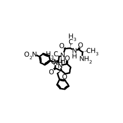 C[C@H](N)C(=O)N[C@@H](C)C(=O)N[C@@H](C)C(=O)N1C(=O)CCC(=O)[C@]1(Cc1ccccc1)C(=O)Nc1ccc([N+](=O)[O-])cc1